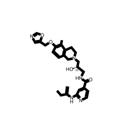 C=C(CC)Nc1cc(C(=O)NC[C@H](O)CN2CCc3c(ccc(OCc4cnco4)c3C)C2)ccn1